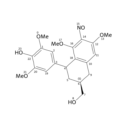 COc1cc(C2C[C@H](CO)Cc3cc(OC)c(N=O)c(OC)c32)cc(OC)c1O